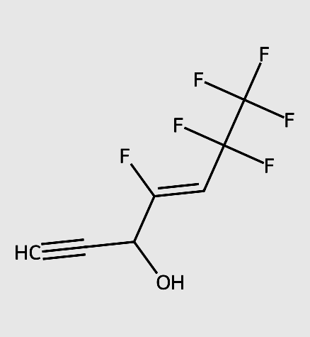 C#CC(O)C(F)=CC(F)(F)C(F)(F)F